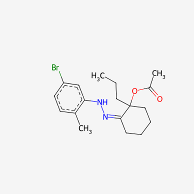 CCCC1(OC(C)=O)CCCCC1=NNc1cc(Br)ccc1C